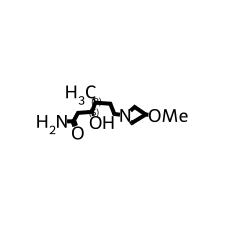 COC1CN(CC[C@@H](C)[C@@H](O)CC(N)=O)C1